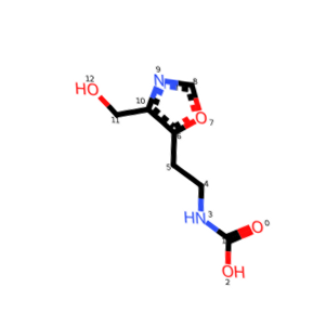 O=C(O)NCCc1ocnc1CO